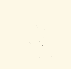 Cc1[c]nnc(Cc2ccc(F)c(C(=O)N3CC(=O)N(c4cccs4)[C@H](C)C3)c2)c1C